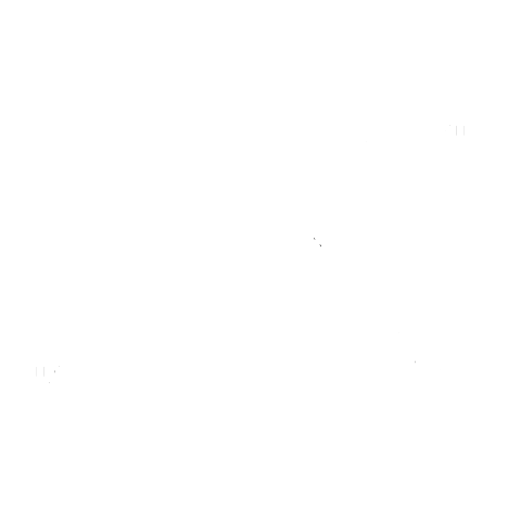 C=C/C=C/Cc1cccc(-n2c3ccc(C)cc3c3cc(C)ccc32)c1